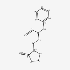 O=[C]C(CCN1CCCC1=O)Cc1ccccc1